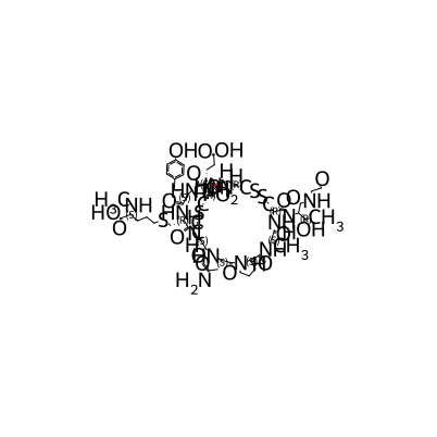 CN[C@@H](CCCSC[C@@H]1NC(=O)[C@H](Cc2ccc(O)cc2)NC(=O)[C@H](CCC(=O)O)NC(=O)[C@@H]2CSSC[C@@H](C(=O)NC(C(=O)NCC=O)[C@@H](C)O)NC(=O)[C@H](C)NC(=O)[C@@H]3CCCN3C(=O)[C@H](CC(N)=O)NC(=O)[C@H](CCSC[C@H](N)C(=O)N2)NC1=O)C(=O)O